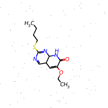 CCCCSC1=NC2NC(=O)C(OCC)=CC2C=N1